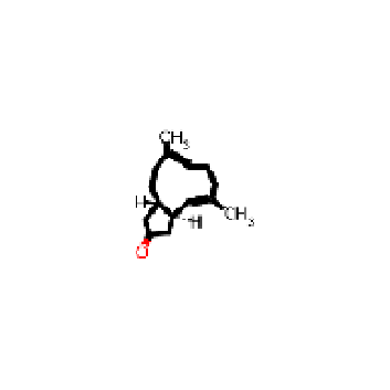 C/C1=C\[C@H]2CC(=O)C[C@@H]2CC/C(C)=C/CC1